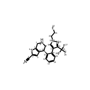 N#Cc1cc2c(s1)CNC[C@H]2c1ccccc1-c1cn(CCF)nc1C(F)(F)F